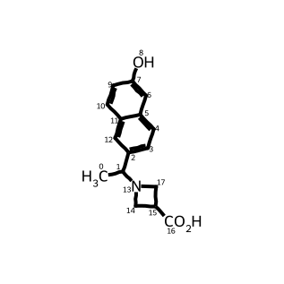 CC(c1ccc2cc(O)ccc2c1)N1CC(C(=O)O)C1